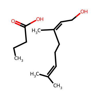 CC(C)=CCC/C(C)=C\CO.CCCC(=O)O